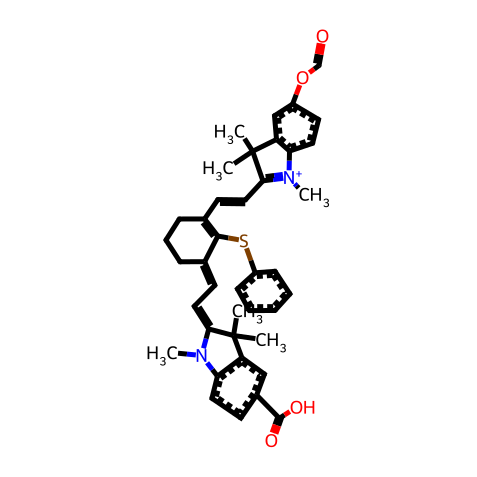 CN1C(=C/C=C2\CCCC(C=CC3=[N+](C)c4ccc(OC=O)cc4C3(C)C)=C2Sc2ccccc2)C(C)(C)c2cc(C(=O)O)ccc21